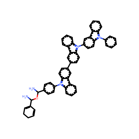 NC(OC(N)c1ccc(-n2c3ccccc3c3cc(-c4ccc5c(c4)c4ccccc4n5-c4ccc5c(c4)c4ccccc4n5-c4ccccc4)ccc32)cc1)C1=CCCC=C1